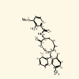 COc1ccnc(C(=O)N[C@H]2CCC[C@H](Cc3ccc(C(F)(F)F)cc3)[C@@H](Cc3ccccc3)[C@H](C)OC2=O)c1O